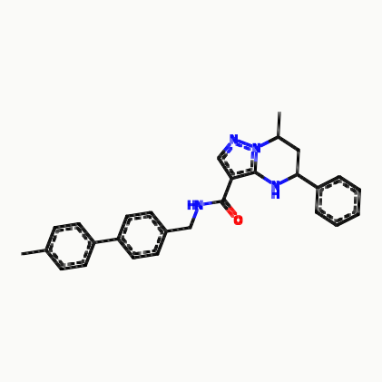 Cc1ccc(-c2ccc(CNC(=O)c3cnn4c3NC(c3ccccc3)CC4C)cc2)cc1